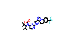 CC(C)[C@@H]1N(c2ccnc(N[C@@H](C)c3ncn4c3CCc3cc(C(F)(F)F)ccc3-4)n2)C(=O)OC1(C)C